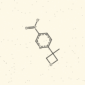 CC1(c2ccc([N+](=O)[O-])cn2)COC1